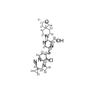 C[C@H]1CC2(CCN(c3ncc(Sc4ccnc(N5CCC5C5(C#N)CC5)c4Cl)nc3CO)CC2)CO1